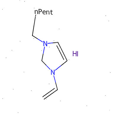 C=CN1C=CN(CCCCCC)C1.I